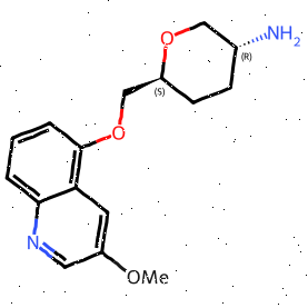 COc1cnc2cccc(OC[C@@H]3CC[C@@H](N)CO3)c2c1